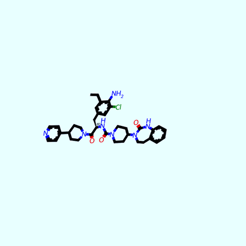 CCc1cc(C[C@@H](NC(=O)N2CCC(N3CCc4ccccc4NC3=O)CC2)C(=O)N2CCC(c3ccncc3)CC2)cc(Cl)c1N